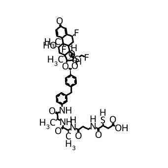 C[C@H](NC(=O)CCNC(=O)C(S)CC(=O)O)C(=O)N[C@@H](C)C(=O)Nc1cccc(Cc2ccc([C@@H]3O[C@@H]4CC5[C@@H]6C[C@H](F)C7=CC(=O)C=C[C@]7(C)[C@@]6(F)[C@@H](O)C[C@]5(C)[C@]4(C(=O)SCF)O3)cc2)c1